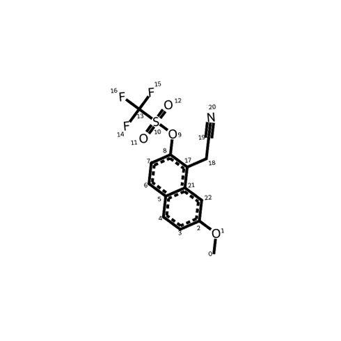 COc1ccc2ccc(OS(=O)(=O)C(F)(F)F)c(CC#N)c2c1